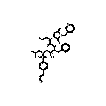 CC[C@H](C)[C@@H](C(=O)N[C@@H](Cc1ccccc1)[C@@H](O)CN(CC(C)C)S(=O)(=O)c1ccc(C=NO)cc1)N1CC(=O)N(Cc2cccnc2)C1=O